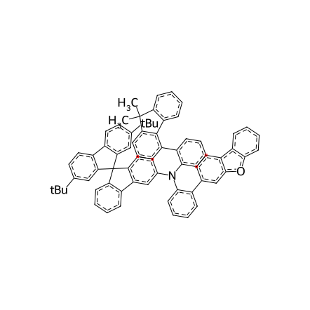 CC(C)(C)c1ccc2c(c1)C1(c3ccccc3-c3cc(N(c4ccccc4-c4ccc5c(c4)oc4ccccc45)c4ccccc4-c4cccc5c4-c4ccccc4C5(C)C)ccc31)c1cc(C(C)(C)C)ccc1-2